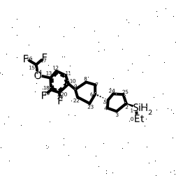 CC[SiH2][C@H]1CC[C@H](C2CCC(c3ccc(OC(F)F)c(F)c3F)CC2)CC1